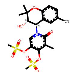 Cc1c(OS(C)(=O)=O)c(OS(C)(=O)=O)cn([C@@H]2c3cc(C#N)ccc3OC(C)(C)[C@H]2O)c1=O